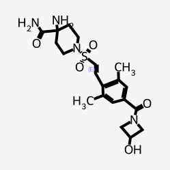 Cc1cc(C(=O)N2CC(O)C2)cc(C)c1/C=C/S(=O)(=O)N1CCC(N)(C(N)=O)CC1